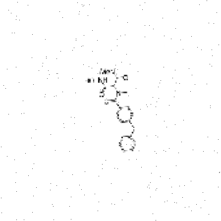 CNC(=O)C(C(=O)NO)N(C)C(=O)c1ccc(Cc2ccccc2)cc1